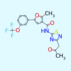 CC(=O)Cc1nsc(NC(=O)c2cc(-c3cccc(OC(F)(F)F)c3)oc2C)n1